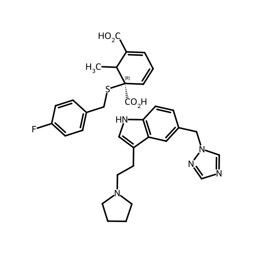 CC1C(C(=O)O)=CC=C[C@]1(SCc1ccc(F)cc1)C(=O)O.c1ncn(Cc2ccc3[nH]cc(CCN4CCCC4)c3c2)n1